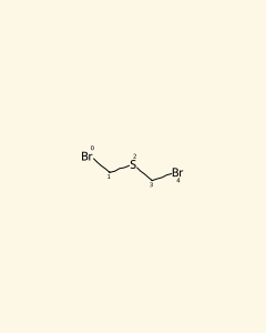 BrCSCBr